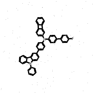 Fc1ccc(-c2ccc(N(c3ccc(-c4ccc5c(c4)c4ccccc4n5-c4ccccc4)cc3)c3ccc4c(c3)-c3ccccc3-4)cc2)cc1